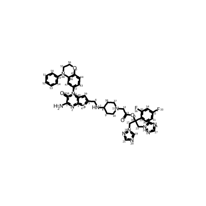 Nc1nc2sc(CNC3CCN(CC(=O)OC(Cn4cncn4)(Cn4cncn4)c4ccc(F)cc4F)CC3)cc2n(-c2ccc3c(c2)N(c2ccccc2)CCO3)c1=O